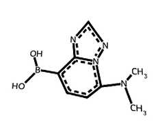 CN(C)c1ccc(B(O)O)c2ncnn12